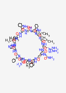 CCCC[C@H]1C(=O)N(C)[C@@H](CCCC)C(=O)N[C@@H](CCCNC(N)N)C(=O)N[C@H](C(=O)NCC(N)=O)CSCC(=O)N[C@@H](Cc2ccccc2)C(=O)N(C)[C@@H](C)C(=O)N[C@@H](CC(N)=O)C(=O)N2C[C@H](c3ccccc3)CC2C(=O)N[C@@H](Cc2cnc[nH]2)C(=O)N[C@@H](CC(C)C)C(=O)N(C)CC(=O)N[C@@H](Cc2c[nH]c3ccccc23)C(=O)N[C@@H](CO)C(=O)N[C@@H](Cc2c[nH]c3ccccc23)C(=O)N1C